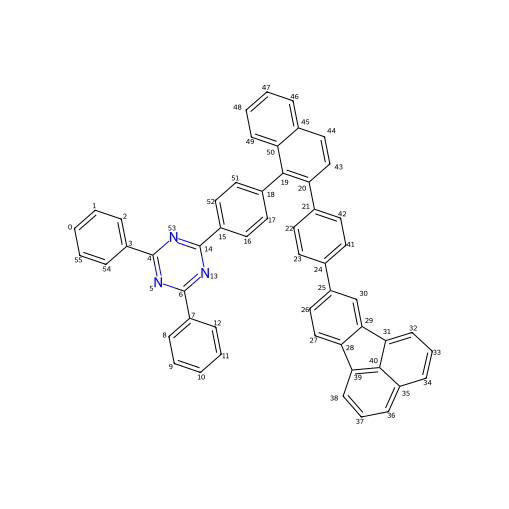 c1ccc(-c2nc(-c3ccccc3)nc(-c3ccc(-c4c(-c5ccc(-c6ccc7c(c6)-c6cccc8cccc-7c68)cc5)ccc5ccccc45)cc3)n2)cc1